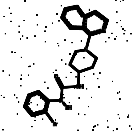 O=C(NC1CCN(c2nccc3ccccc23)CC1)N(S)c1ccccc1Br